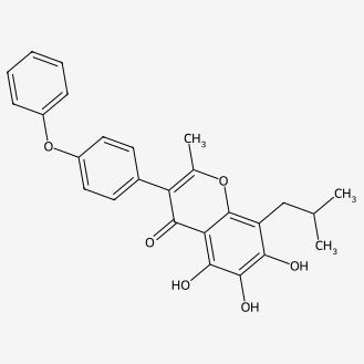 Cc1oc2c(CC(C)C)c(O)c(O)c(O)c2c(=O)c1-c1ccc(Oc2ccccc2)cc1